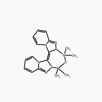 C[Si]1(C)O[Si](C)(C)N2N=C3C=CC=CN3C2=C2N3C=CC=CC3=NN21